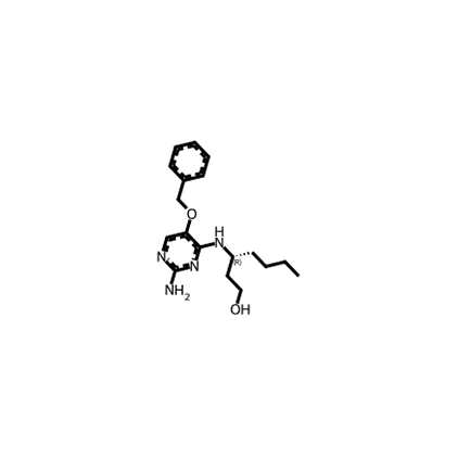 CCCC[C@H](CCO)Nc1nc(N)ncc1OCc1ccccc1